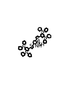 N=C1C(c2ccc(-c3cc(N(c4ccccc4)c4ccccc4)cc(N(c4ccccc4)c4ccccc4)c3)s2)=CC=C(c2ccc(-c3cc(N(C4=CCCC=C4)c4ccccc4)cc(N(C4=CCCC=C4)c4ccccc4)c3)s2)/C1=N/S